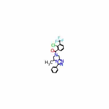 CC1CN(C(=O)c2cccc(C(F)(F)F)c2Cl)Cc2nnc(-c3ccccc3)n21